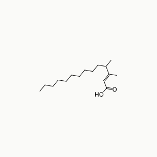 CCCCCCCCCCC(C)C(C)=CC(=O)O